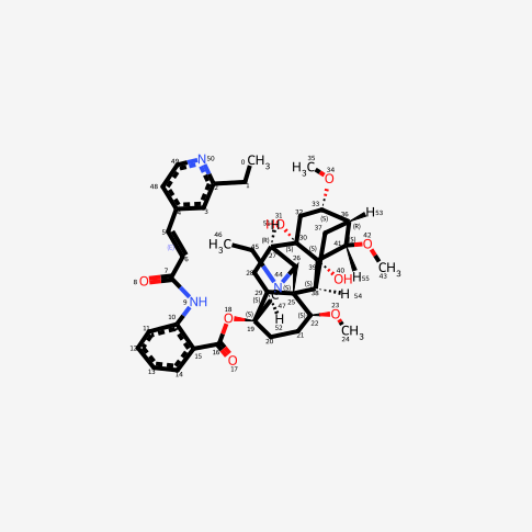 CCc1cc(/C=C/C(=O)Nc2ccccc2C(=O)O[C@@]23CC[C@H](OC)[C@]45C([C@@H](C[C@H]24)[C@@]2(O)C[C@H](OC)[C@H]4C[C@@H]5[C@]2(O)[C@H]4OC)N(CC)C3)ccn1